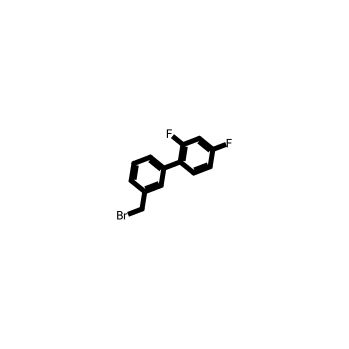 Fc1ccc(-c2cccc(CBr)c2)c(F)c1